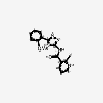 COc1ccccc1-c1nsc(NC(=O)c2cccnc2C)n1